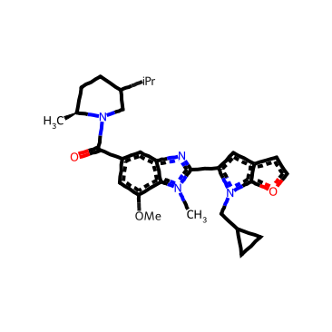 COc1cc(C(=O)N2CC(C(C)C)CC[C@@H]2C)cc2nc(-c3cc4ccoc4n3CC3CC3)n(C)c12